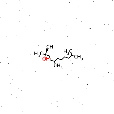 C#CC(C)(O)CCC(C)CCCCC(C)C